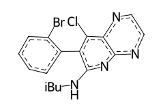 CCC(C)Nc1nc2nccnc2c(Cl)c1-c1ccccc1Br